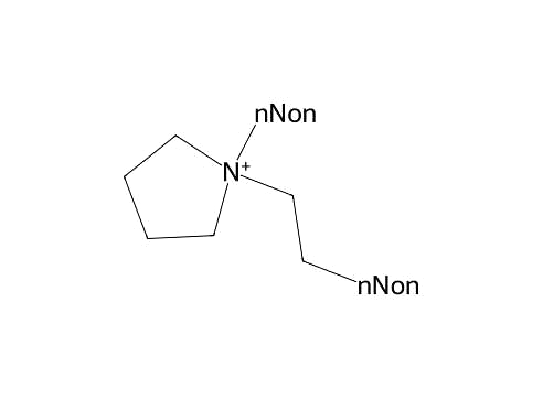 CCCCCCCCCCC[N+]1(CCCCCCCCC)CCCC1